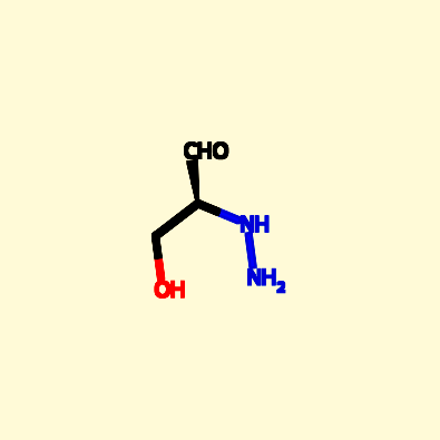 NN[C@H](C=O)CO